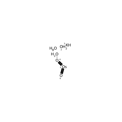 O.O.O.[KH].[O]=[Os]=[O]